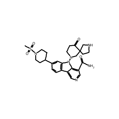 CS(=O)(=O)N1CCC(c2ccc3c4cncc(C(N)=O)c4n(N4CCC(=O)C5(CCNC5)C4)c3c2)CC1